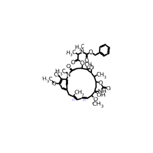 COc1cc2cc(c1Cl)N(C)C(=O)CC(OC(=O)C(C)N(C)C(=O)OCc1ccccc1)C1(C)OC1C(C)C1CC(O)(NC(=O)O1)C(OC)/C=C/C=C(\C)C2